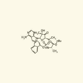 CCCCOC(=O)[C@H](C)NP(=O)(Oc1cccc2ccccc12)OC(C)[C@H]1O[C@@H](n2ccc3c(N)ncnc32)[C@](C)(O)C1=O